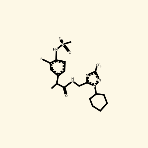 CC(C(=O)NCc1nc(C(F)(F)F)nn1C1CCCCC1)c1ccc(NS(C)(=O)=O)c(F)c1